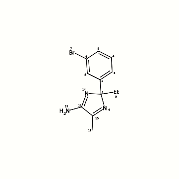 CCC1(c2cccc(Br)c2)N=C(C)C(N)=N1